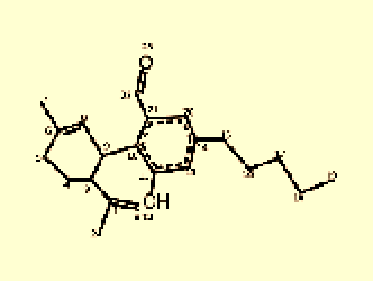 C=C(C)C1CCC(C)=CC1c1c(O)cc(CCCCC)cc1C=O